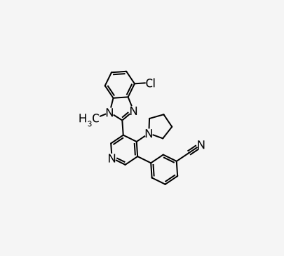 Cn1c(-c2cncc(-c3cccc(C#N)c3)c2N2CCCC2)nc2c(Cl)cccc21